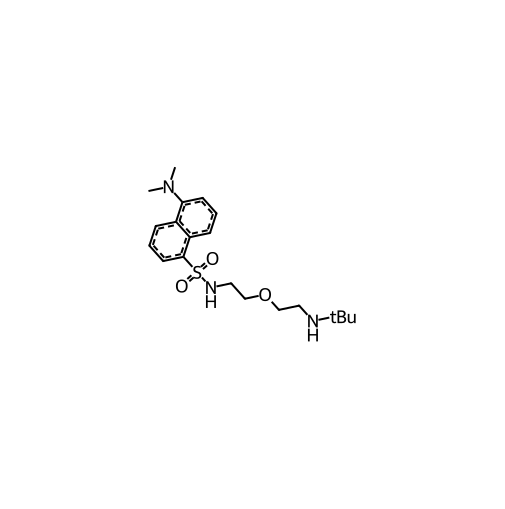 CN(C)c1cccc2c(S(=O)(=O)NCCOCCNC(C)(C)C)cccc12